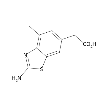 Cc1cc(CC(=O)O)cc2sc(N)nc12